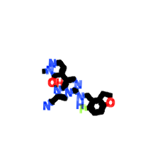 CN1N=CC=C(c2cnc(NCc3c(F)ccc4c3CCO4)n3cc(C#N)nc23)C1O